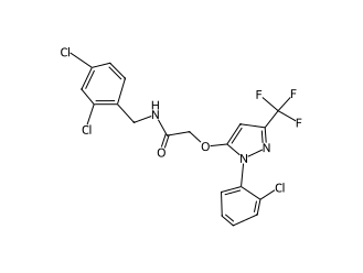 O=C(COc1cc(C(F)(F)F)nn1-c1ccccc1Cl)NCc1ccc(Cl)cc1Cl